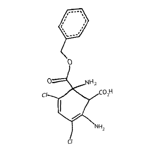 NC1=C(Cl)C=C(Cl)C(N)(C(=O)OCc2ccccc2)C1C(=O)O